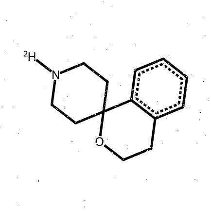 [2H]N1CCC2(CC1)OCCc1ccccc12